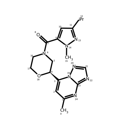 Cc1cc([C@@H]2CN(C(=O)c3cc(C(C)C)nn3C)CCO2)n2ncnc2n1